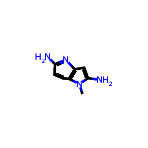 Cn1c(N)cc2nc(N)ccc21